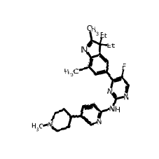 CCC1(CC)C(C)=Nc2c(C)cc(-c3nc(Nc4ccc(C5CCN(C)CC5)cn4)ncc3F)cc21